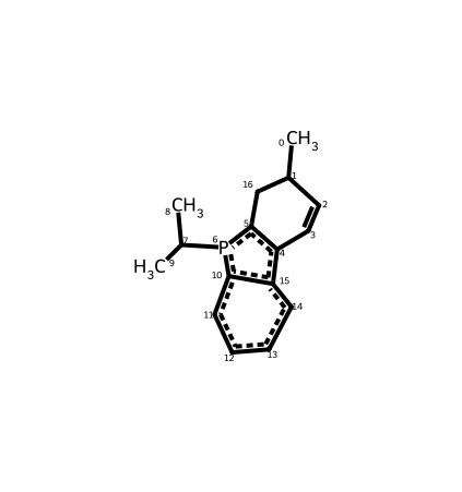 CC1C=Cc2c(p(C(C)C)c3ccccc23)C1